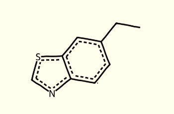 CCc1c[c]c2ncsc2c1